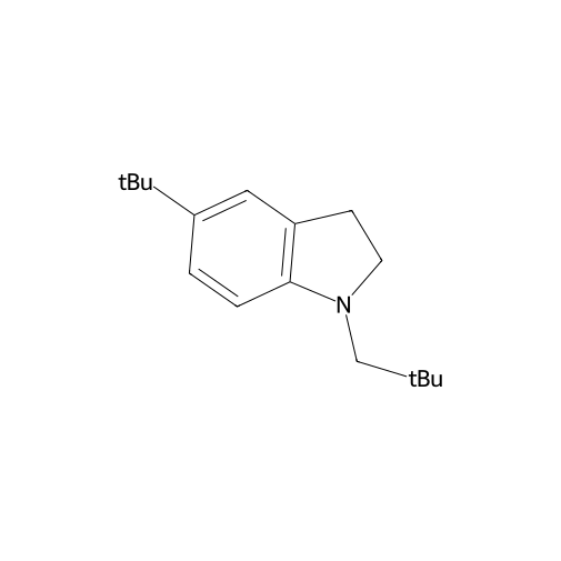 CC(C)(C)CN1CCc2cc(C(C)(C)C)ccc21